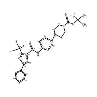 CC(C)(C)OC(=O)N1CCN(c2ncc(NC(=O)c3nc(-c4ccccc4)oc3C(F)(F)F)cn2)CC1